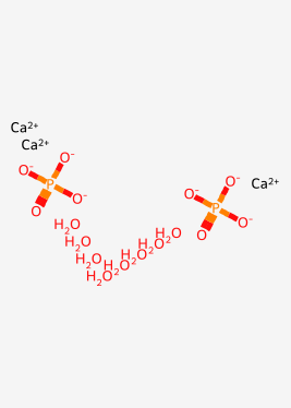 O.O.O.O.O.O.O.O.O=P([O-])([O-])[O-].O=P([O-])([O-])[O-].[Ca+2].[Ca+2].[Ca+2]